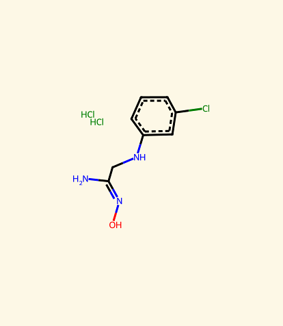 Cl.Cl.NC(CNc1cccc(Cl)c1)=NO